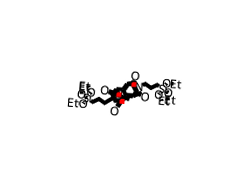 CCO[Si](CCCn1c(=O)c2ccc(c1=O)c1c3ccc(c(=O)n(CCC[Si](OCC)(OCC)OCC)c3=O)c21)(OCC)OCC